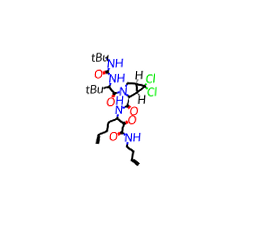 C=CCCNC(=O)C(=O)C(CCC=C)NC(=O)[C@@H]1[C@H]2[C@@H](CN1C(=O)C(NC(=O)NC(C)(C)C)C(C)(C)C)C2(Cl)Cl